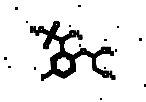 CCC(C)Oc1ccc(F)cc1N(C)S(C)(=O)=O